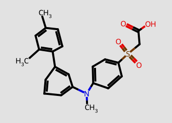 Cc1ccc(-c2cccc(N(C)c3ccc(S(=O)(=O)CC(=O)O)cc3)c2)c(C)c1